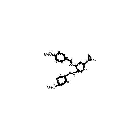 COc1ccc(COc2cnc(C3CO3)cc2OCc2ccc(OC)cc2)cc1